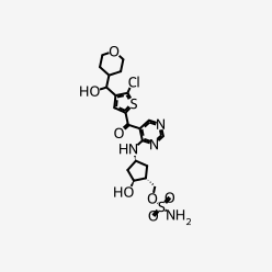 NS(=O)(=O)OC[C@H]1C[C@@H](Nc2ncncc2C(=O)c2cc(C(O)C3CCOCC3)c(Cl)s2)C[C@@H]1O